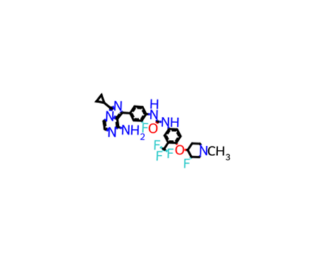 CN1CCC(Oc2ccc(NC(=O)Nc3ccc(-c4nc(C5CC5)n5ccnc(N)c45)cc3F)cc2C(F)(F)F)C(F)C1